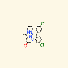 C=C1c2c(C)c(=O)cnn2C(C(c2ccc(Cl)cc2)c2ccc(Cl)cc2)N2CCCCN12